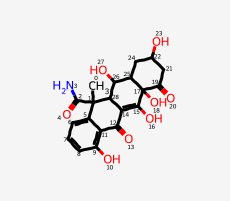 CC1(C(N)=O)c2cccc(O)c2C(=O)C2=C(O)C3(O)C(=O)CC(O)CC3C(O)C21